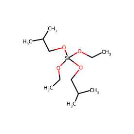 CCO[Si](OCC)(OCC(C)C)OCC(C)C